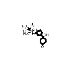 CC(C)(C)[Si](C)(C)Oc1cccc(C2(O)CCC(=O)CC2)c1